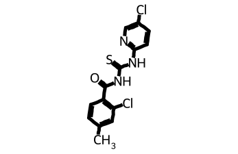 Cc1ccc(C(=O)NC(=S)Nc2ccc(Cl)cn2)c(Cl)c1